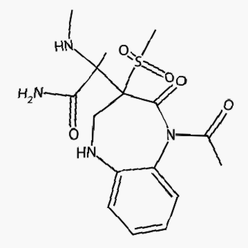 CNC(C)(C(N)=O)C1(S(C)(=O)=O)CNc2ccccc2N(C(C)=O)C1=O